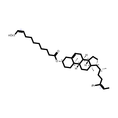 C/C=C(\CC[C@@H](C)[C@H]1CC[C@H]2[C@@H]3CC=C4C[C@@H](OC(=O)CCCCCCC/C=C\CCCCCCCC)CC[C@]4(C)[C@H]3CC[C@]12C)C(C)C